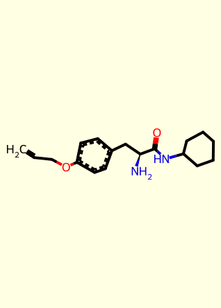 C=CCOc1ccc(C[C@H](N)C(=O)NC2CCCCC2)cc1